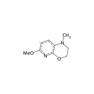 COc1[c]cc2c(n1)OCCN2C